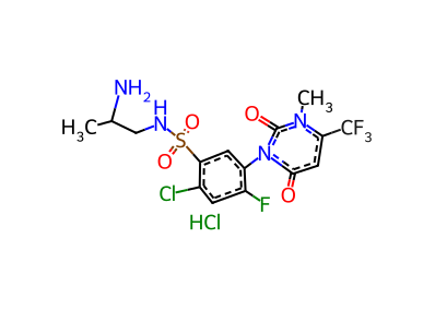 CC(N)CNS(=O)(=O)c1cc(-n2c(=O)cc(C(F)(F)F)n(C)c2=O)c(F)cc1Cl.Cl